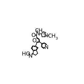 CN1CCC(N(C)C(=O)c2cc(-c3ccncc3)c(-c3ccc4c(c3)CC/C4=N/O)o2)CC1